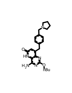 CCCCOc1nc(N)c2[nH]c(=O)cc(Cc3ccc(CN4CCCC4)cc3)c2n1